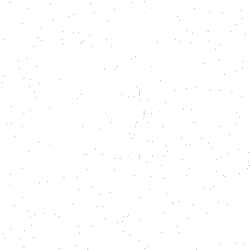 OC1CCSC(C(F)(F)F)C1